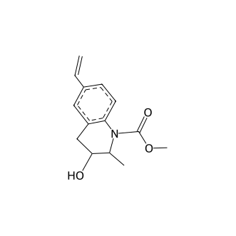 C=Cc1ccc2c(c1)CC(O)C(C)N2C(=O)OC